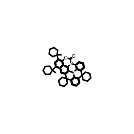 CC1(c2cc(C3(C)CCCCC3)c3cc4c5c6c3c2OC(=O)N6c2cccc3c2B5c2c(cccc2C42CCCCC2)C32CCCCC2)CCCCC1